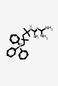 CC(C)(CC(C)(C)N/C(N)=N/C(N)N)C[PH](c1ccccc1)(c1ccccc1)c1ccccc1